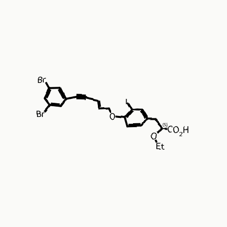 CCO[C@@H](Cc1ccc(OCC=CC#Cc2cc(Br)cc(Br)c2)c(I)c1)C(=O)O